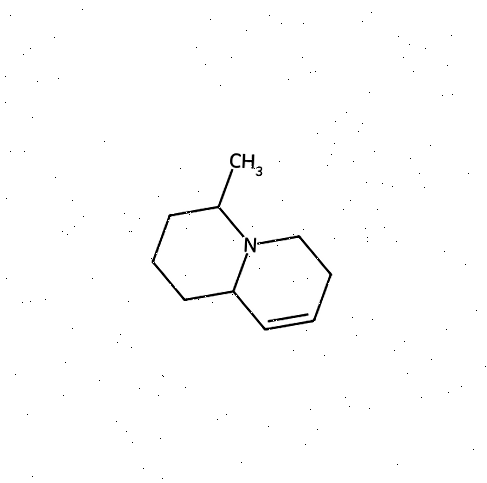 CC1CCCC2C=CCCN12